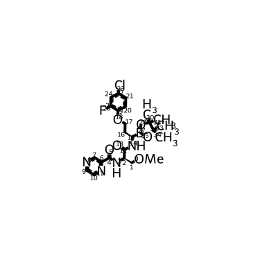 COC[C@@H](NC(=O)c1cnccn1)C(=O)N[C@@H](CCOc1ccc(Cl)cc1F)B1OC(C)(C)C(C)(C)O1